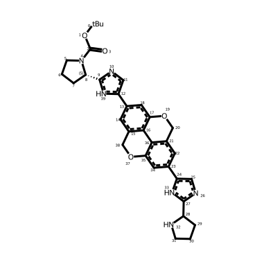 CC(C)(C)OC(=O)N1CCC[C@H]1c1ncc(-c2cc3c4c(c2)OCc2cc(-c5cnc(C6CCCN6)[nH]5)cc(c2-4)OC3)[nH]1